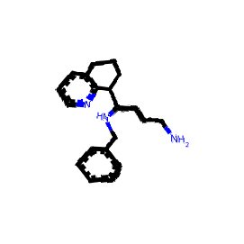 NCCCC(NCc1ccccc1)C1CCCc2cccnc21